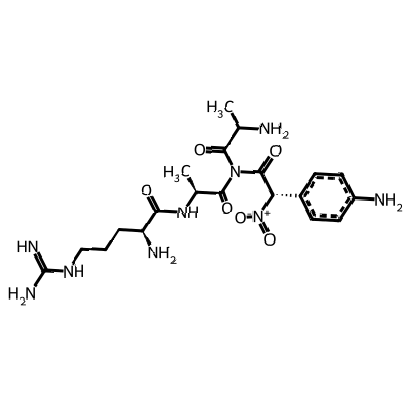 CC(N)C(=O)N(C(=O)[C@H](C)NC(=O)[C@@H](N)CCCNC(=N)N)C(=O)[C@H](c1ccc(N)cc1)[N+](=O)[O-]